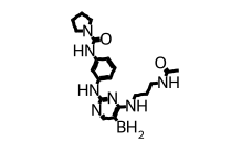 Bc1cnc(Nc2cccc(NC(=O)N3CCCC3)c2)nc1NCCCNC(C)=O